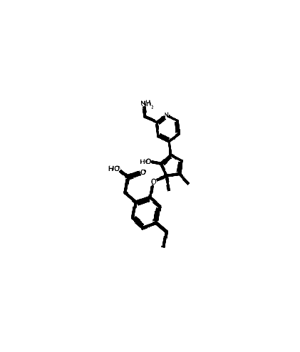 CCc1ccc(CC(=O)O)c(OC2(C)C(C)=CC(c3ccnc(CN)c3)=C2O)c1